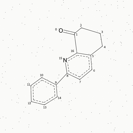 O=C1CCCc2ccc(-c3ccccc3)nc21